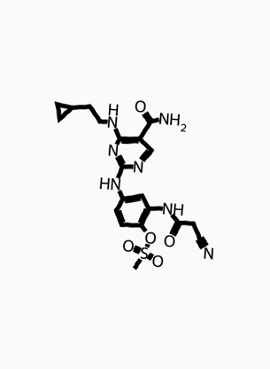 CS(=O)(=O)Oc1ccc(Nc2ncc(C(N)=O)c(NCCC3CC3)n2)cc1NC(=O)CC#N